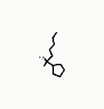 CCCCCC(C)(N)C1CCCC1